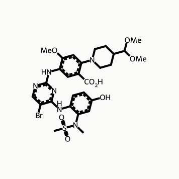 COc1cc(N2CCC(C(OC)OC)CC2)c(C(=O)O)cc1Nc1ncc(Br)c(Nc2ccc(O)cc2N(C)S(C)(=O)=O)n1